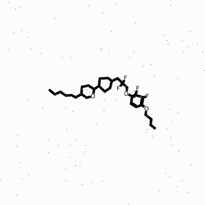 CCCCCCC1CCC(C2CCC(CC(F)(F)COc3ccc(OCCCC)c(F)c3F)CC2)OC1